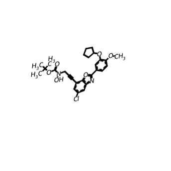 COc1ccc(-c2nc3cc(Cl)cc(C#CCN(O)C(=O)OC(C)(C)C)c3o2)cc1OC1CCCC1